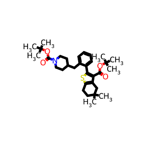 CC1(C)CCc2sc(-c3ccccc3CC3CCN(C(=O)OC(C)(C)C)CC3)c(C(=O)OC(C)(C)C)c2C1